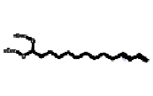 C=C/C=C/CCCCCCCCCC(OCCCCCCCCCC)OCCCCCCCCCC